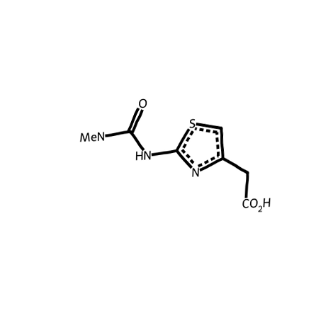 CNC(=O)Nc1nc(CC(=O)O)cs1